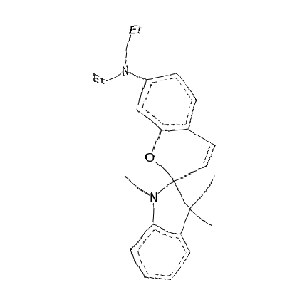 CCN(CC)c1ccc2c(c1)OC1(C=C2)N(C)c2ccccc2C1(C)C